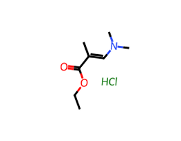 CCOC(=O)C(C)=CN(C)C.Cl